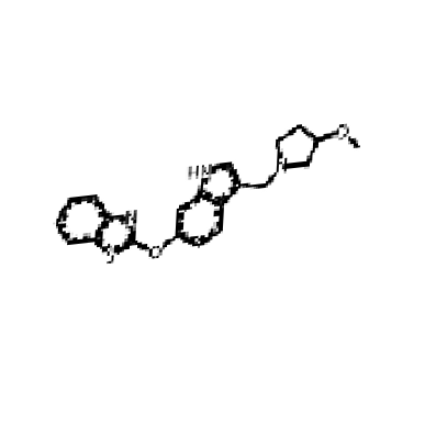 COC1CCN(Cc2c[nH]c3cc(Oc4nc5ccccc5s4)ccc23)C1